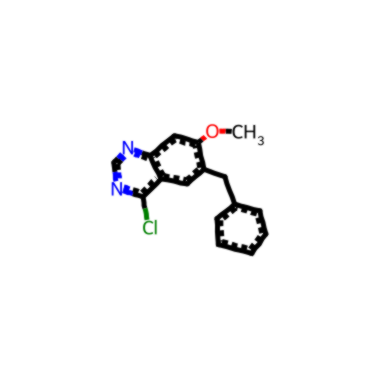 COc1cc2ncnc(Cl)c2cc1Cc1ccccc1